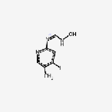 Cc1cnc(/N=C\NO)cc1I